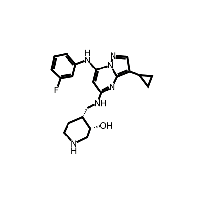 O[C@@H]1CNCC[C@@H]1CNc1cc(Nc2cccc(F)c2)n2ncc(C3CC3)c2n1